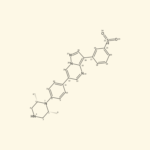 C[C@@H]1CNC[C@H](C)N1c1ccc(-c2cnc3c(-c4cccc([SH](=O)=O)c4)cnn3c2)cc1